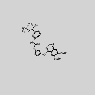 COc1cc2ncnc(Oc3cnn(CC(=O)Nc4cccc(C(O[SiH](C)C)C(C)(C)C)n4)c3)c2cc1OC